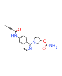 CC#CC(=O)Nc1ccc2c(N3CCC(OC(N)=O)C3)nccc2c1